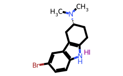 CN(C)[C@@H]1CCc2[nH]c3ccc(Br)cc3c2C1.I